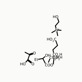 CC(=O)C(=O)O.CC(=O)O.CC(=O)O.CCC(O)C(=O)[O-].C[N+](C)(C)CCO.O=C(O)CCC(=O)O